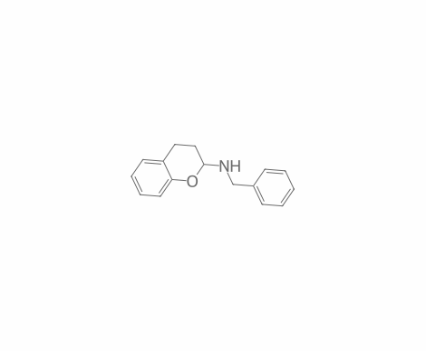 c1ccc(CNC2CCc3ccccc3O2)cc1